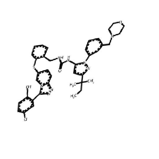 CCC(C)(C)c1cc(NC(=O)NCc2ccccc2Sc2ccc3nnc(-c4cc(Cl)ccc4O)n3c2)n(-c2cccc(CN3CCOCC3)c2)n1